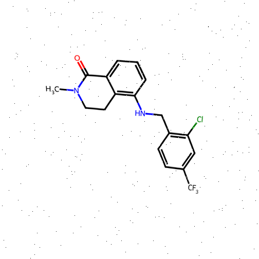 CN1CCc2c(NCc3ccc(C(F)(F)F)cc3Cl)cccc2C1=O